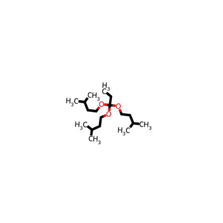 CCC(OCCC(C)C)(OCCC(C)C)OCCC(C)C